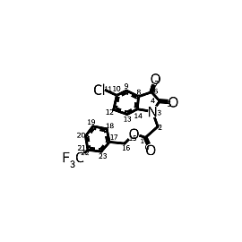 O=C(CN1C(=O)C(=O)c2cc(Cl)ccc21)OCc1cccc(C(F)(F)F)c1